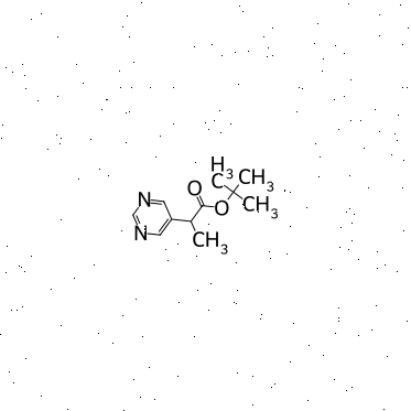 CC(C(=O)OC(C)(C)C)c1cncnc1